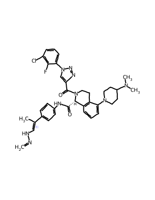 C=NN/C=C(\C)c1ccc(NC(=O)[C@H]2c3cccc(N4CCC(N(C)C)CC4)c3CCN2C(=O)c2cn(-c3cccc(Cl)c3F)nn2)cc1